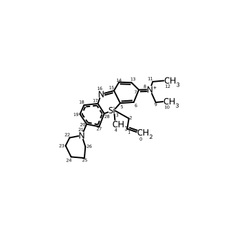 C=CC[Si]1(C)C2=CC(=[N+](CC)CC)C=CC2=Nc2ccc(N3CCCCC3)cc21